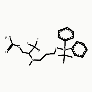 CN(CCCO[Si](c1ccccc1)(c1ccccc1)C(C)(C)C)C(COC(N)=O)C(F)(F)F